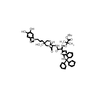 CC(C)(C)OC(=O)C(C)(C)ON=C(C(=O)NC1C(=O)N2CC(C=CCn3cnc4cc(O)c(O)cc43)(C(=O)O)CS[C@H]12)c1csc(NC(c2ccccc2)(c2ccccc2)c2ccccc2)n1